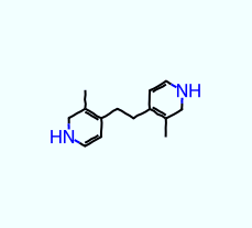 CC1=C(CCC2=C(C)CNC=C2)C=CNC1